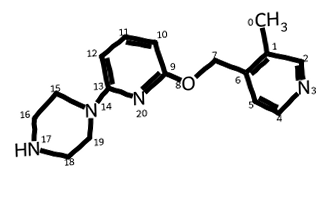 Cc1cnccc1COc1cccc(N2CCNCC2)n1